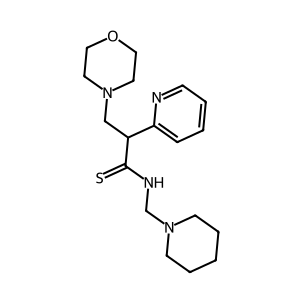 S=C(NCN1CCCCC1)C(CN1CCOCC1)c1ccccn1